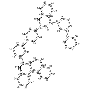 c1ccc(-c2cccc(-c3nc(-c4ccc(-c5cccc(-c6nc7ccccc7c7c6ccc6ccccc67)c5)cc4)nc4ccccc34)c2)cc1